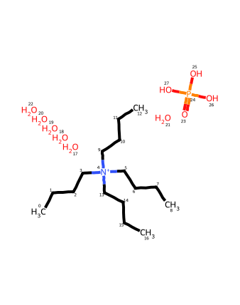 CCCC[N+](CCCC)(CCCC)CCCC.O.O.O.O.O.O.O=P(O)(O)O